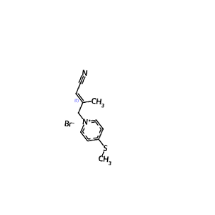 CSc1cc[n+](C/C(C)=C/C#N)cc1.[Br-]